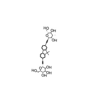 C[C@@H]1[C@H](O)[C@@H](C#Cc2ccc3c(c2)C(C)(C)c2cc(C#C[C@H]4O[C@H](CO)[C@@H](O)[C@H](O)[C@@H]4O)ccc2-3)O[C@H](CO)[C@H]1O